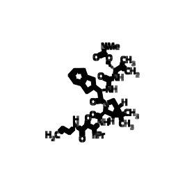 C=CCNC(=O)C(=O)C(CCC)NC(=O)[C@@H]1[C@@H]2[C@H](CN1C(=O)[C@@H](NC(=O)N[C@H](COC(=O)NC)C(=C)C)C1Cc3ccccc3C1)C2(C)C